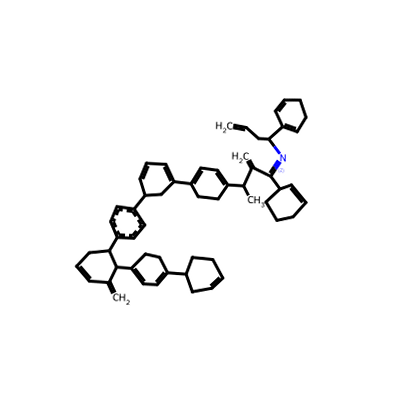 C=CCC(/N=C(\C(=C)C(C)C1=CC=C(C2=CC=CC(c3ccc(C4CC=CC(=C)C4C4=CC=C(C5CC=CCC5)CC4)cc3)C2)CC1)C1C=CCCC1)C1=CCCC=C1